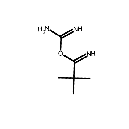 CC(C)(C)C(=N)OC(=N)N